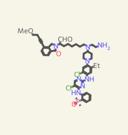 CCc1cc(Nc2ncc(Cl)c(Nc3ccccc3P(C)(C)=O)n2)c(Cl)cc1N1CCC(N(CCN)CCCCCCC(C=O)N2Cc3c(C#CCCOC)cccc3C2=O)CC1